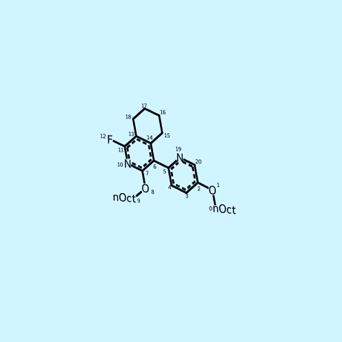 CCCCCCCCOc1ccc(-c2c(OCCCCCCCC)nc(F)c3c2CCCC3)nc1